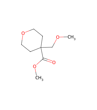 COCC1(C(=O)OC)CCOCC1